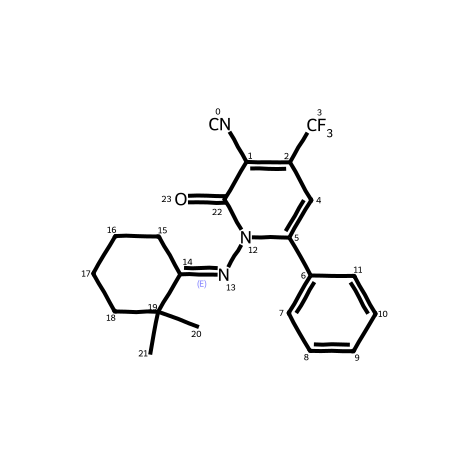 [C-]#[N+]c1c(C(F)(F)F)cc(-c2ccccc2)n(/N=C2\CCCCC2(C)C)c1=O